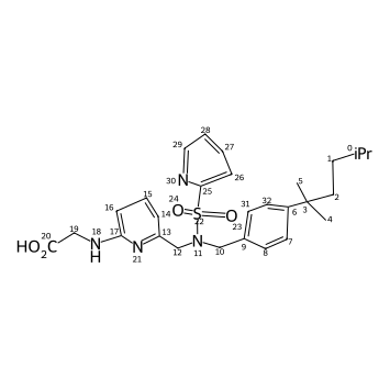 CC(C)CCC(C)(C)c1ccc(CN(Cc2cccc(NCC(=O)O)n2)S(=O)(=O)c2ccccn2)cc1